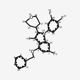 Fc1cc(OCc2ccccc2)c2c(I)c(C3CCOCC3)n(-c3ccc(F)c(F)c3)c2c1